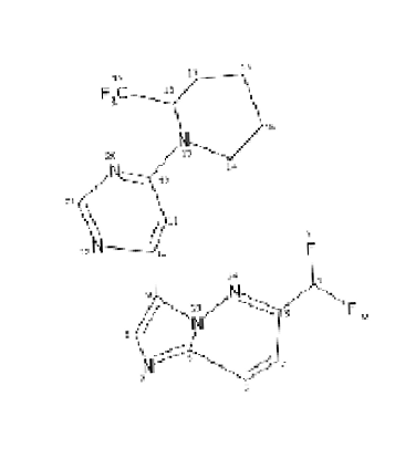 FC(F)c1ccc2ncc(-c3cc(N4CCCCC4C(F)(F)F)ncn3)n2n1